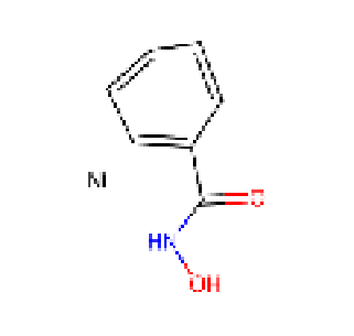 O=C(NO)c1ccccc1.[Ni]